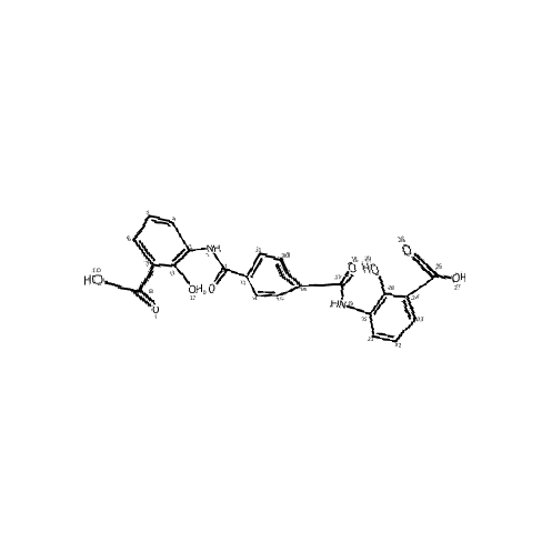 O=C(Nc1cccc(C(=O)O)c1O)c1ccc(C(=O)Nc2cccc(C(=O)O)c2O)cc1